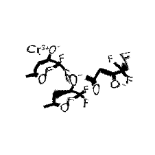 CC(=O)/C=C(/[O-])C(F)(F)F.CC(=O)/C=C(/[O-])C(F)(F)F.CC(=O)/C=C(\[O-])C(F)(F)F.[Cr+3]